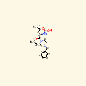 C=CC[C@H](NC(=O)O)C(=O)N1CCN(Cc2ccccc2)CC1C=C